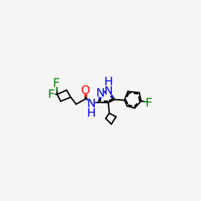 O=C(CC1CC(F)(F)C1)Nc1n[nH]c(-c2ccc(F)cc2)c1C1CCC1